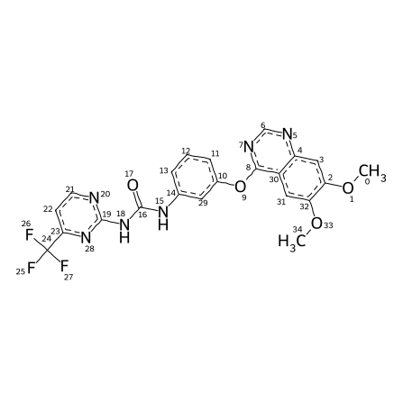 COc1cc2ncnc(Oc3cccc(NC(=O)Nc4nccc(C(F)(F)F)n4)c3)c2cc1OC